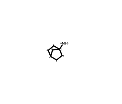 [NH]C12CCC(CC1)C2